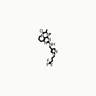 CC1C(=O)N2CCCc3nc(NCc4cnn(CCCC(F)(F)F)c4)nc(c32)N1C